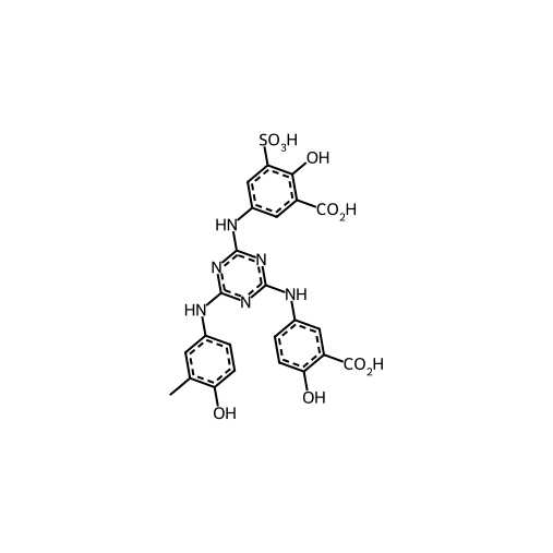 Cc1cc(Nc2nc(Nc3ccc(O)c(C(=O)O)c3)nc(Nc3cc(C(=O)O)c(O)c(S(=O)(=O)O)c3)n2)ccc1O